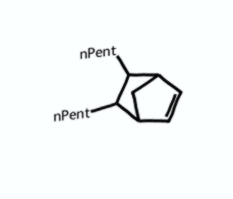 CCCCCC1C2C=CC(C2)C1CCCCC